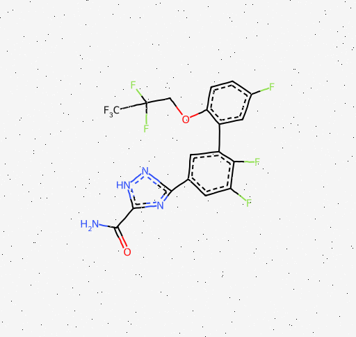 NC(=O)c1nc(-c2cc(F)c(F)c(-c3cc(F)ccc3OCC(F)(F)C(F)(F)F)c2)n[nH]1